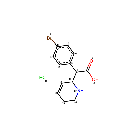 Cl.O=C(O)C(c1ccc(Br)cc1)C1C=CCCN1